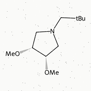 CO[C@H]1CN(CC(C)(C)C)C[C@H]1OC